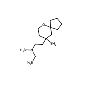 BCN(B)CCC1(B)CCOC2(CCCC2)C1